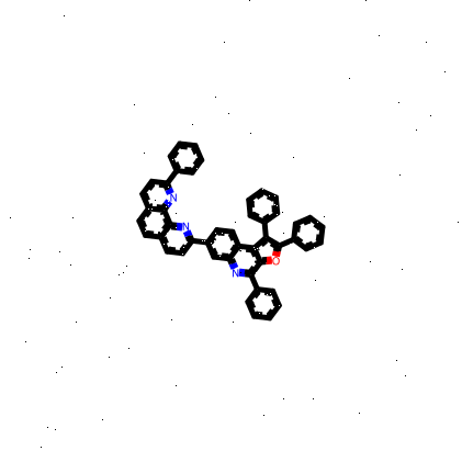 c1ccc(-c2ccc3ccc4ccc(-c5ccc6c(c5)nc(-c5ccccc5)c5oc(-c7ccccc7)c(-c7ccccc7)c56)nc4c3n2)cc1